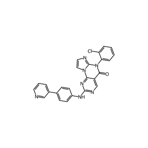 O=c1c2cnc(Nc3ccc(-c4cccnc4)cc3)nc2n2ccnc2n1-c1ccccc1Cl